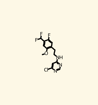 COc1cc(C(F)F)c(F)cc1CCNc1cc(Cl)ncn1